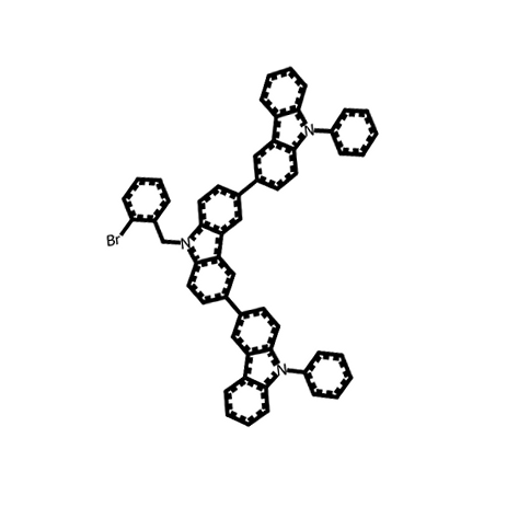 Brc1ccccc1Cn1c2ccc(-c3ccc4c(c3)c3ccccc3n4-c3ccccc3)cc2c2cc(-c3ccc4c(c3)c3ccccc3n4-c3ccccc3)ccc21